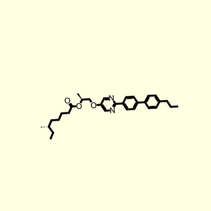 CCCc1ccc(-c2ccc(-c3ncc(OC[C@H](C)OC(=O)CCCC[C@@H](C)CC)cn3)cc2)cc1